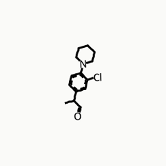 CC(C=O)c1ccc(N2CCCCC2)c(Cl)c1